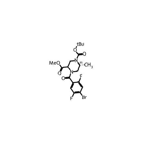 COC(=O)C1CN(C(=O)OC(C)(C)C)[C@H](C)CN1C(=O)c1cc(F)c(Br)cc1F